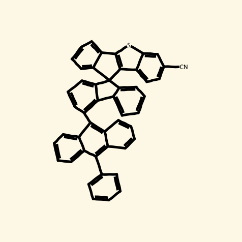 N#Cc1ccc2c3c(sc2c1)-c1ccccc1C31c2ccccc2-c2c(-c3c4ccccc4c(-c4ccccc4)c4ccccc34)cccc21